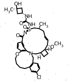 CO[C@H]1/C=C/C[C@H](C)C[S@@](=O)(NC(=O)N[C@H]2C[C@](C)(O)C2)=NC(=O)c2ccc3c(c2)N(Cc2ccc(Cl)cc2CCCCO3)C[C@@H]2CC[C@H]21